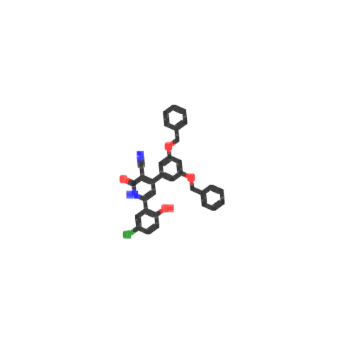 N#Cc1c(-c2cc(OCc3ccccc3)cc(OCc3ccccc3)c2)cc(-c2cc(Cl)ccc2O)[nH]c1=O